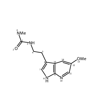 CNC(=O)NCCc1c[nH]c2ncc(OC)cc12